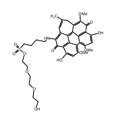 COc1c2c3c4c(c(NCCCCS(=O)(=O)OCCOCCOCCO)c(=O)c5c(O)cc(OC)c(c6c(OC)cc(O)c(c1=O)c63)c54)C=C(C)C2